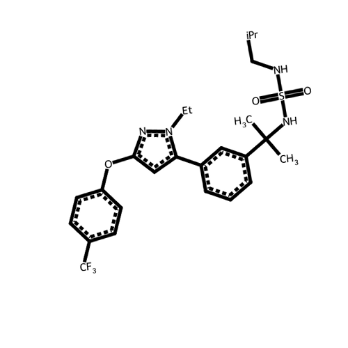 CCn1nc(Oc2ccc(C(F)(F)F)cc2)cc1-c1cccc(C(C)(C)NS(=O)(=O)NCC(C)C)c1